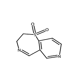 O=S1(=O)CCN=Cc2cnccc21